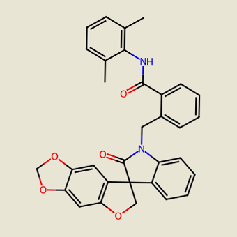 Cc1cccc(C)c1NC(=O)c1ccccc1CN1C(=O)C2(COc3cc4c(cc32)OCO4)c2ccccc21